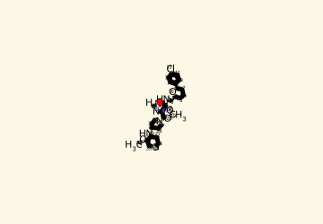 C=C(NC[C@@H]1CCC[C@H](c2ccc(Cl)cc2)O1)/C(OC)=C(\N=C/N)C(=O)N1CCC(N[C@@H]2CCOC[C@@H]2OC)CC1